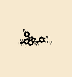 O=C(O)c1cc(C(=O)N2CC[C@]3(S(=O)(=O)c4ccc(F)cc4)c4ccc(C(F)(C(F)(F)F)C(F)(F)F)cc4CC[C@H]23)ccc1O